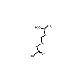 CN(C)CCOCC(=O)O